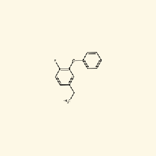 [CH2]Cc1ccc(F)c(Oc2ccccc2)c1